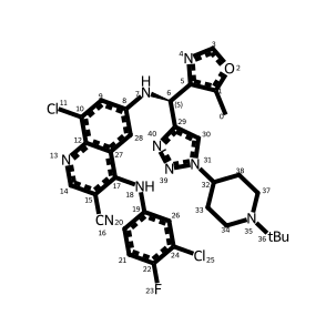 Cc1ocnc1[C@H](Nc1cc(Cl)c2ncc(C#N)c(Nc3ccc(F)c(Cl)c3)c2c1)c1cn(C2CCN(C(C)(C)C)CC2)nn1